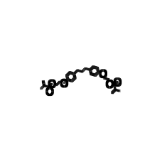 C=C(C)C(=O)OCCOc1ccc(CCCc2ccc(OCCOC(=O)C(=C)C)cc2)cc1